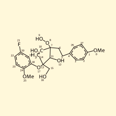 COc1ccc(CCC(OO)(C(=O)O)C(O)C(C)(CO)Oc2cc(F)ccc2OC)cc1